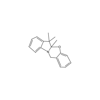 CC1(C)c2ccccc2N2Cc3ccccc3OC21C